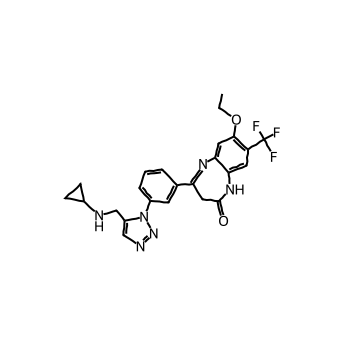 CCOc1cc2c(cc1C(F)(F)F)NC(=O)CC(c1cccc(-n3nncc3CNC3CC3)c1)=N2